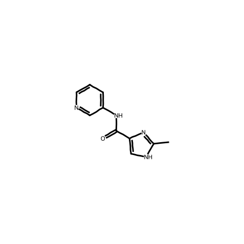 Cc1nc(C(=O)Nc2cccnc2)c[nH]1